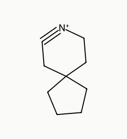 C1#[N+]CCC2(C1)CCCC2